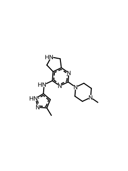 Cc1cc(Nc2nc(N3CCN(C)CC3)nc3c2CNC3)[nH]n1